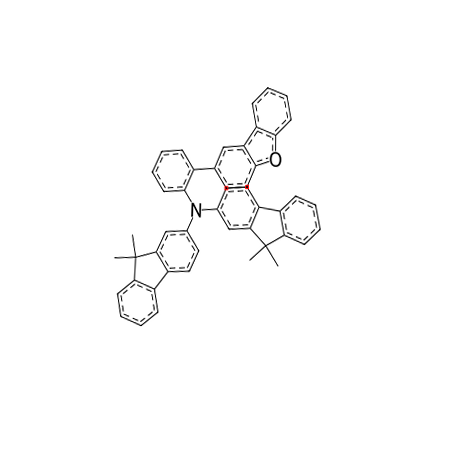 CC1(C)c2ccccc2-c2ccc(N(c3ccc4c(c3)C(C)(C)c3ccccc3-4)c3ccccc3-c3ccc4oc5ccccc5c4c3)cc21